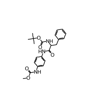 COC(=O)Nc1ccc(NC(=O)C(Cc2ccccc2)NC(=O)OC(C)(C)C)cc1